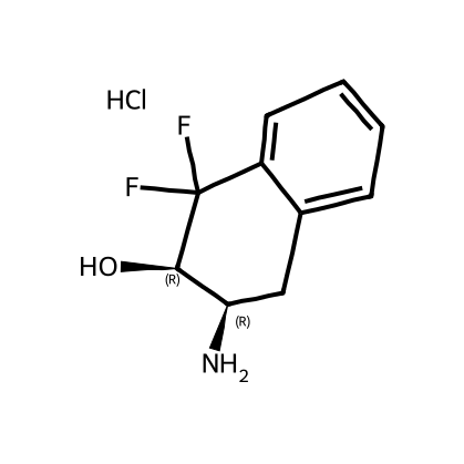 Cl.N[C@@H]1Cc2ccccc2C(F)(F)[C@@H]1O